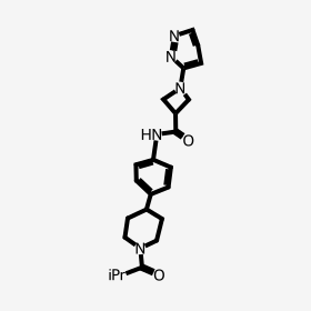 CC(C)C(=O)N1CCC(c2ccc(NC(=O)C3CN(c4cccnn4)C3)cc2)CC1